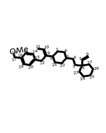 C=CC1(CCC2CCC(C(=CC)Cc3ccc(COC)cc3)CC2)CCCCC1